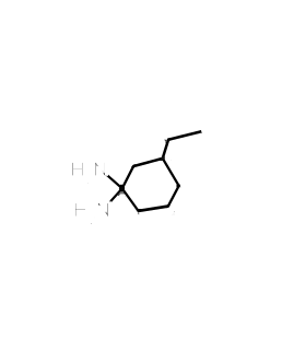 CCC1CCCC(N)(N)C1